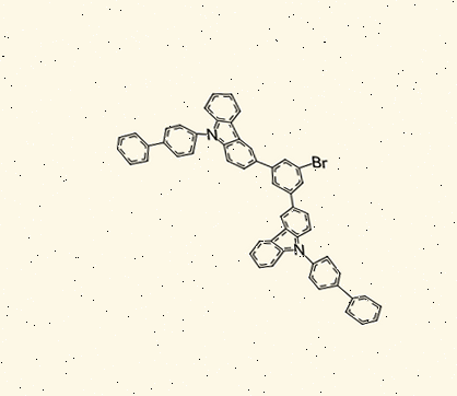 Brc1cc(-c2ccc3c(c2)c2ccccc2n3-c2ccc(-c3ccccc3)cc2)cc(-c2ccc3c(c2)c2ccccc2n3-c2ccc(-c3ccccc3)cc2)c1